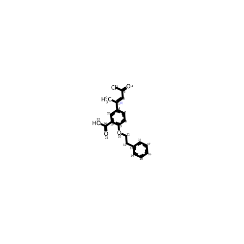 C/C(=C\C(=O)Cl)c1ccc(OCCc2ccccc2)c(C(=O)O)c1